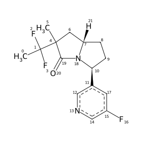 CC(F)(F)C1(C)C[C@@H]2CC[C@@H](c3cncc(F)c3)N2C1=O